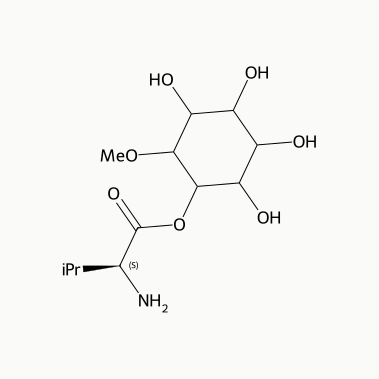 COC1C(O)C(O)C(O)C(O)C1OC(=O)[C@@H](N)C(C)C